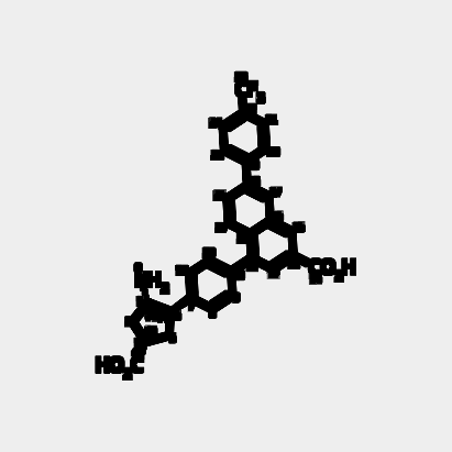 N[C@H]1C[C@@H](C(=O)O)C[C@@H]1c1ccc(-c2cc(C(=O)O)cc3cc(-c4ccc(C(F)(F)F)cc4)ccc23)cc1